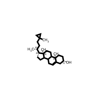 C[C@H](CCC1(C)CC1)[C@H]1CCC2C3CC=C4C[C@@H](O)CC[C@]4(C)C3CC[C@@]21C